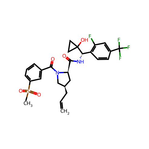 C=CC[C@@H]1C[C@H](C(=O)N[C@@H](c2ccc(C(F)(F)F)cc2F)C2(O)CC2)N(C(=O)c2cccc(S(C)(=O)=O)c2)C1